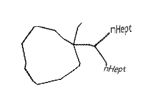 CCCCCCCC(CCCCCCC)C1(C)CCCCCCC1